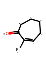 CCC1=CCCCCC1=O